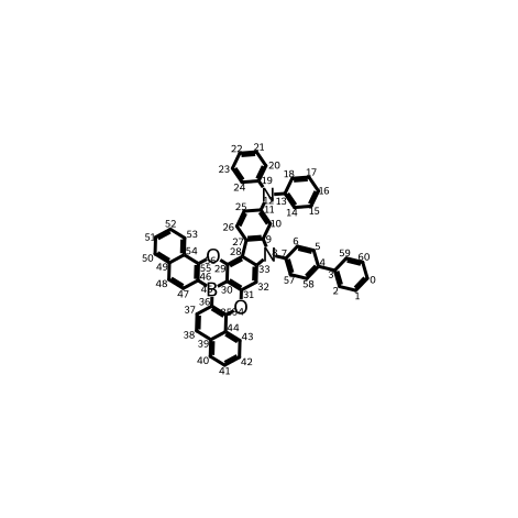 c1ccc(-c2ccc(-n3c4cc(N(c5ccccc5)c5ccccc5)ccc4c4c5c6c(cc43)Oc3c(ccc4ccccc34)B6c3ccc4ccccc4c3O5)cc2)cc1